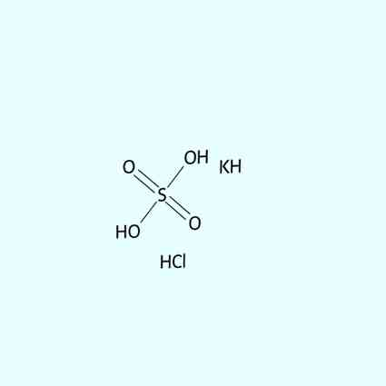 Cl.O=S(=O)(O)O.[KH]